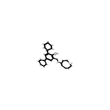 Oc1c(CSC2CCCCCCC2)cc(C2CCCCC2)cc1C1CCCCC1